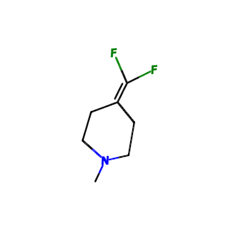 CN1CCC(=C(F)F)CC1